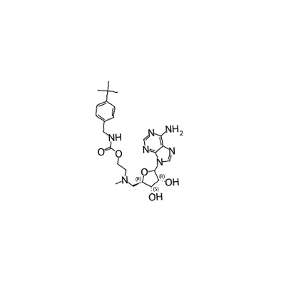 CN(CCOC(=O)NCc1ccc(C(C)(C)C)cc1)C[C@H]1OC(n2cnc3c(N)ncnc32)[C@H](O)[C@@H]1O